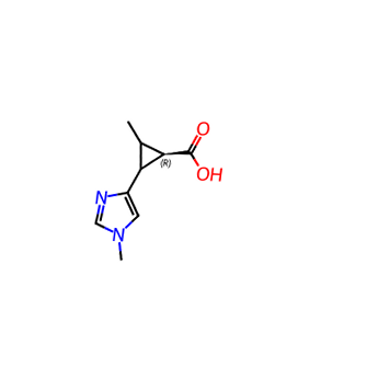 CC1C(c2cn(C)cn2)[C@@H]1C(=O)O